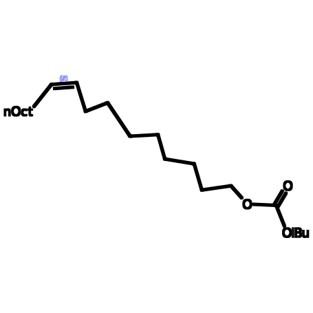 CCCCCCCC/C=C\CCCCCCCCOC(=O)OCC(C)C